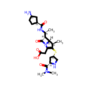 C[C@@H](NC(=O)[C@H]1CC[C@@H](N)C1)[C@H]1C(=O)N2C(CC(=O)O)=C(S[C@@H]3CN[C@H](C(=O)N(C)C)C3)[C@H](C)[C@H]12